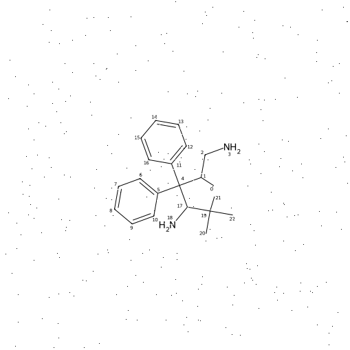 CC(CN)C(c1ccccc1)(c1ccccc1)C(N)C(C)(C)C